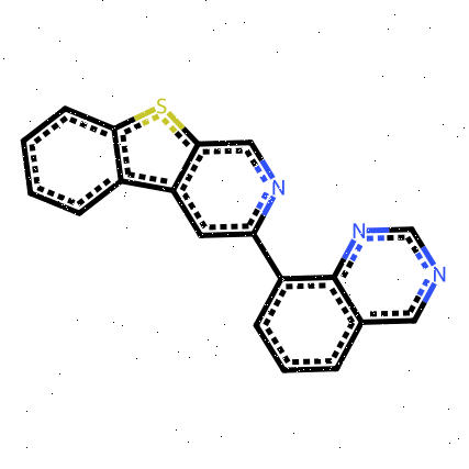 c1cc(-c2cc3c(cn2)sc2ccccc23)c2ncncc2c1